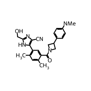 CNc1ccc(C2CN(C(=O)c3cc(-c4[nH]c(CO)nc4C#N)c(C)cc3C)C2)cc1